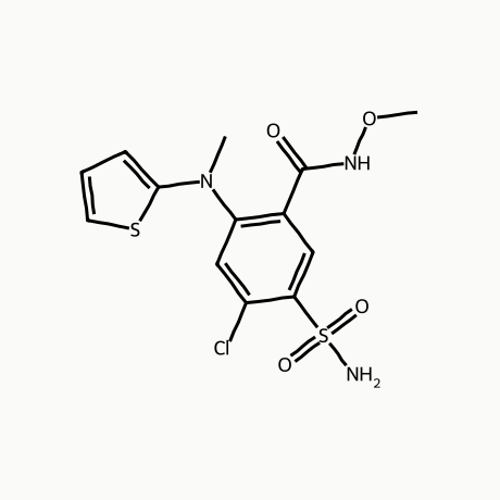 CONC(=O)c1cc(S(N)(=O)=O)c(Cl)cc1N(C)c1cccs1